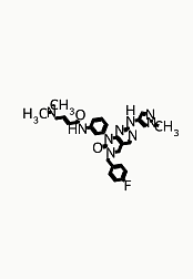 CN(C)C/C=C/C(=O)Nc1cccc(N2C(=O)N(Cc3ccc(F)cc3)Cc3cnc(Nc4cnn(C)c4)nc32)c1